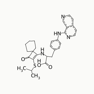 CC(C)SC1=C(NC(Cc2ccc(Nc3nccc4ccncc34)cc2)C(=O)O)C2(CCCCC2)C1=O